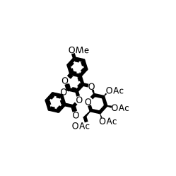 COc1ccc2c(O[C@@H]3O[C@H](COC(C)=O)[C@@H](OC(C)=O)[C@H](OC(C)=O)[C@H]3OC(C)=O)c(OC(=O)c3ccccc3)c(=O)oc2c1